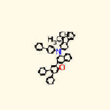 CC1(C)c2ccccc2-c2ccc(N(c3ccc(-c4ccccc4)cc3)c3cc4c5cc(-c6ccccc6)c(-c6ccccc6)cc5oc4c4ccccc34)cc21